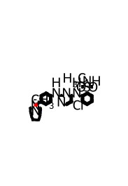 CNS(=O)(=O)c1ccccc1Nc1nc(Nc2ccc(CN3C4CCC3CN(C)C4)cc2)ncc1Cl